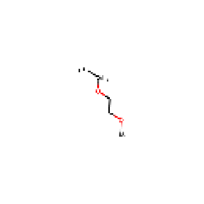 CCC[SiH2]OCCOCC